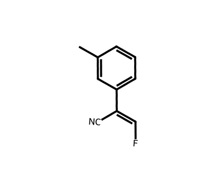 Cc1cccc(/C(C#N)=C/F)c1